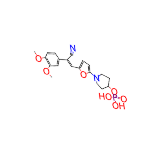 COc1ccc(C(C#N)=Cc2ccc(N3CCC(OP(=O)(O)O)CC3)o2)cc1OC